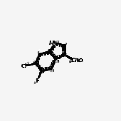 O=Cc1c[nH]c2cc(Cl)c(F)cc12